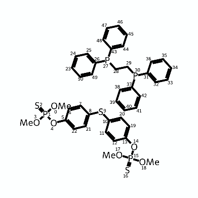 COP(=S)(OC)Oc1ccc(Sc2ccc(OP(=S)(OC)OC)cc2)cc1.c1ccc(P(CCP(c2ccccc2)c2ccccc2)c2ccccc2)cc1